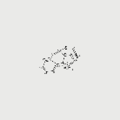 CC12/C=C\C=C/SC(=Cc3ccccc31)C2N